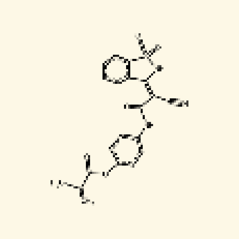 C=C(C)C(=O)Oc1ccc(NC(=O)C(C#N)=C2NS(=O)(=O)c3ccccc32)cc1